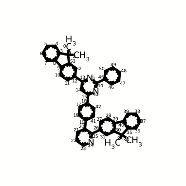 CC1(C)c2ccccc2-c2ccc(-c3cc(-c4ccc(-c5cccnc5-c5ccc6c(c5)C(C)(C)c5ccccc5-6)cc4)nc(-c4ccccc4)n3)cc21